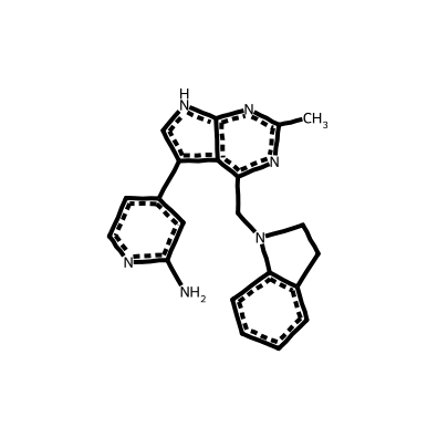 Cc1nc(CN2CCc3ccccc32)c2c(-c3ccnc(N)c3)c[nH]c2n1